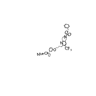 COC(=O)c1cccc(OCCCCc2nc3c(cc2C(F)(F)F)CN(C(=O)OCc2ccccc2)CC3)c1